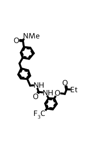 CCC(=O)COc1ccc(C(F)(F)F)cc1NC(=O)NCc1ccc(Cc2cccc(C(=O)NC)c2)cc1